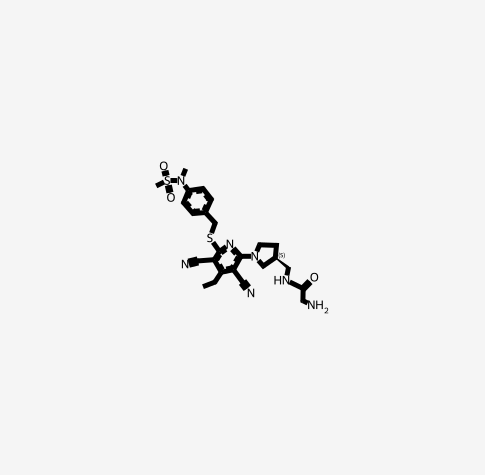 CCc1c(C#N)c(SCc2ccc(N(C)S(C)(=O)=O)cc2)nc(N2CC[C@@H](CNC(=O)CN)C2)c1C#N